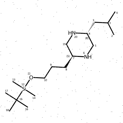 CC(C)C[C@@H]1CN[C@@H](CCCO[Si](C)(C)C(C)(C)C)CN1